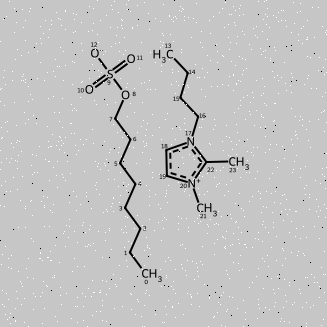 CCCCCCCCOS(=O)(=O)[O-].CCCCn1cc[n+](C)c1C